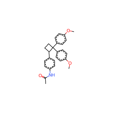 COc1ccc(C2(c3ccc(OC)cc3)CCC2c2ccc(NC(C)=O)cc2)cc1